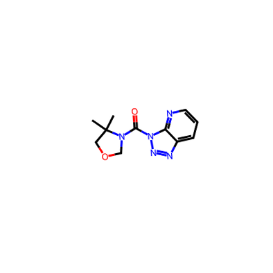 CC1(C)COCN1C(=O)n1nnc2cccnc21